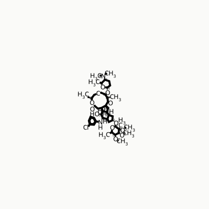 CC[C@H]1CCC[C@H](O[C@H]2CC[C@H](N(C)C)C(C)O2)[C@@H](C)C(=O)C2=C[C@H]3[C@@H]4C[C@H](O[C@@H]5OC(C)[C@H](OC)C(OC)[C@@]5(C)OC)C[C@H]4[C@H](Nc4cccc(Cl)c4)[C@@H](O)[C@H]3[C@@H]2CC(=O)O1